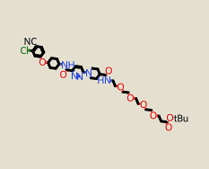 CC(C)(C)OC(=O)CCOCCOCCOCCOCCNC(=O)C1CCN(c2ccc(C(=O)NC3CCC(Oc4ccc(C#N)c(Cl)c4)CC3)nn2)CC1